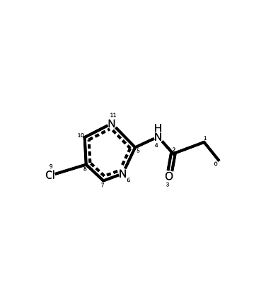 CCC(=O)Nc1ncc(Cl)cn1